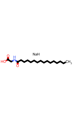 CCCCCCCCCCCCCCCC(=O)NCC(=O)O.[NaH]